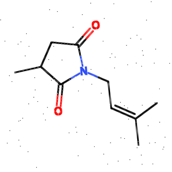 CC(C)=CCN1C(=O)CC(C)C1=O